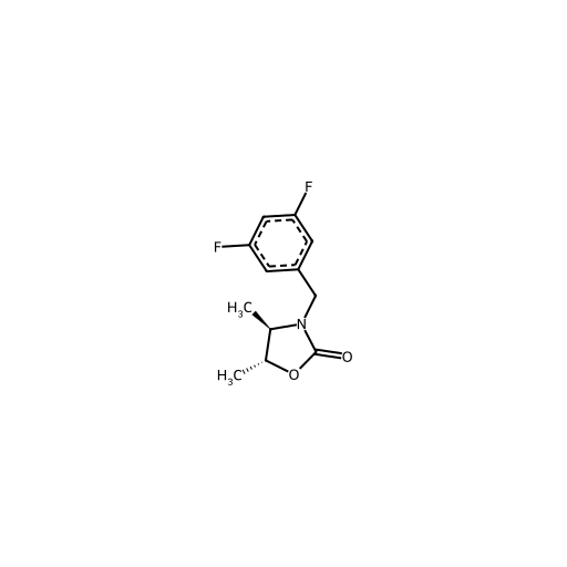 C[C@@H]1[C@@H](C)OC(=O)N1Cc1cc(F)cc(F)c1